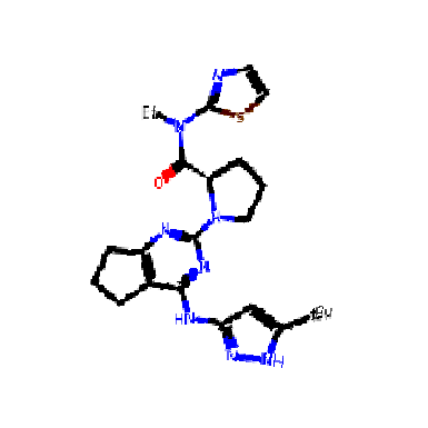 CCN(C(=O)[C@H]1CCCN1c1nc2c(c(Nc3cc(C(C)(C)C)[nH]n3)n1)CCC2)c1nccs1